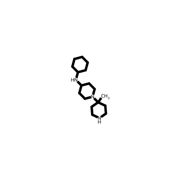 CC1(N2CCC(NC3CCCCC3)CC2)CCNCC1